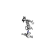 Cc1ccncc1-c1cc2cc(NC(=O)/C=C/C(=O)NC(C)(C)CC#N)ncc2c(N)n1